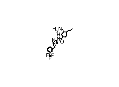 CCCC1CCC(C(=O)Nc2cn(Cc3cccc(C(F)(F)F)c3)cn2)C[C@H]1CN